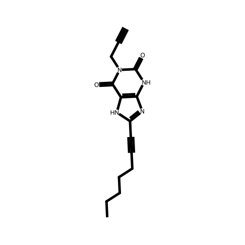 C#CCn1c(=O)[nH]c2nc(C#CCCCCC)[nH]c2c1=O